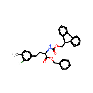 O=C(NC(CCc1ccc(C(F)(F)F)c(Cl)c1)C(=O)OCc1ccccc1)OCC1c2ccccc2-c2ccccc21